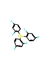 Fc1ccc([SH](c2ccc(F)cc2F)c2ccc(F)cc2F)c(F)c1